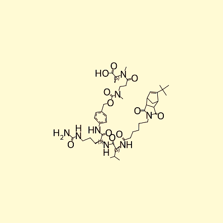 CC(C)[C@H](NC(=O)CCCCCN1C(=O)C2C3C=C(C(C)(C)C)C(C3)C2C1=O)C(=O)N[C@@H](CCCNC(N)=O)C(=O)Nc1ccc(COC(=O)N(C)CCC(=O)N(C)[C@@H](C)C(=O)O)cc1